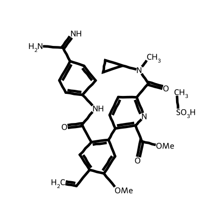 C=Cc1cc(C(=O)Nc2ccc(C(=N)N)cc2)c(-c2ccc(C(=O)N(C)C3CC3)nc2C(=O)OC)cc1OC.CS(=O)(=O)O